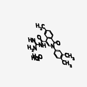 Cc1ccc2c(=O)n(-c3ccc(C)c(C)c3)cc(C(=O)NC(=N)N)c2c1.Cl.O